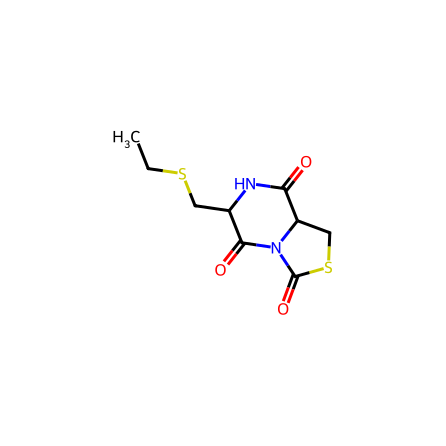 CCSCC1NC(=O)C2CSC(=O)N2C1=O